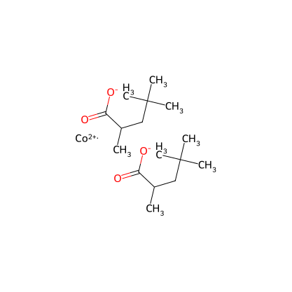 CC(CC(C)(C)C)C(=O)[O-].CC(CC(C)(C)C)C(=O)[O-].[Co+2]